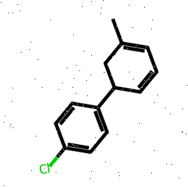 CC1=CC=CC(c2ccc(Cl)cc2)C1